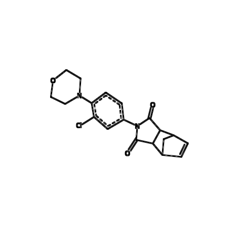 O=C1C2C3C=CC(C3)C2C(=O)N1c1ccc(N2CCOCC2)c(Cl)c1